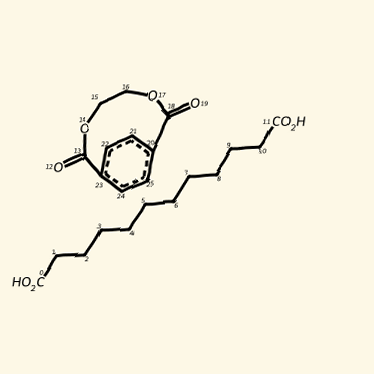 O=C(O)CCCCCCCCCCC(=O)O.O=C1OCCOC(=O)c2ccc1cc2